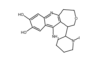 Nc1c2c(nc3cc(O)c(O)cc13)CCOCC2C1CCCCN1I